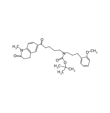 COc1ccccc1CCCN(CCCCC(=O)c1ccc2c(c1)CCC(=O)N2C)C(=O)OC(C)(C)C